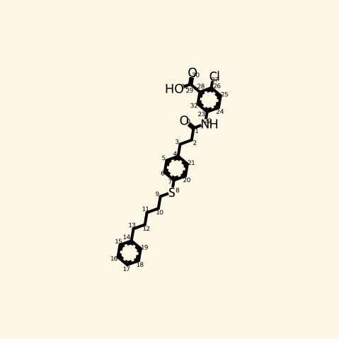 O=C(CCc1ccc(SCCCCCc2ccccc2)cc1)Nc1ccc(Cl)c(C(=O)O)c1